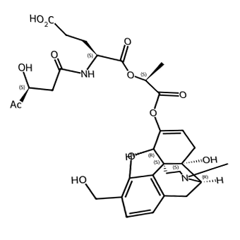 CC(=O)[C@@H](O)CC(=O)N[C@@H](CCC(=O)O)C(=O)O[C@@H](C)C(=O)OC1=CC[C@@]2(O)[C@H]3Cc4ccc(CO)c5c4[C@@]2(CCN3C)[C@H]1O5